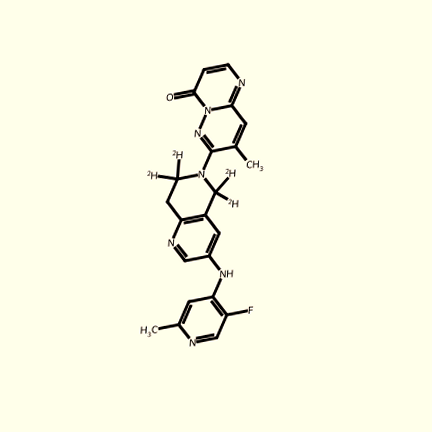 [2H]C1([2H])Cc2ncc(Nc3cc(C)ncc3F)cc2C([2H])([2H])N1c1nn2c(=O)ccnc2cc1C